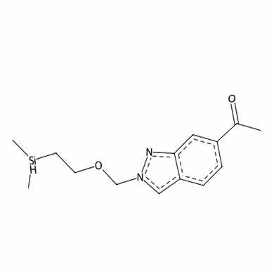 CC(=O)c1ccc2cn(COCC[SiH](C)C)nc2c1